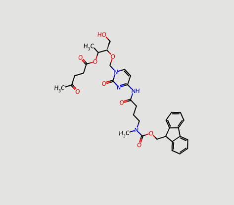 CC(=O)CCC(=O)OC(C)[C@@H](CO)OCn1ccc(NC(=O)CCCN(C)C(=O)OCC2c3ccccc3-c3ccccc32)nc1=O